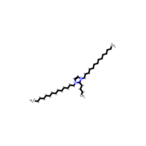 CCCCCCCCCCCCCCN1C=CN(CCCCCCCCCCCCCC)C1CCCC